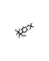 CC(C)(C)CN1CCC(C(C)(O)C(F)(F)F)CC1